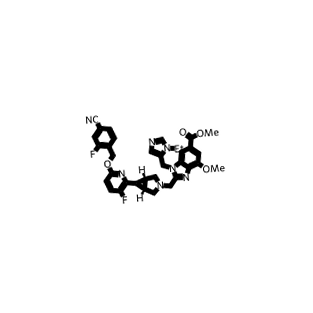 CCn1cncc1Cn1c(CN2C[C@@H]3C(c4nc(OCc5ccc(C#N)cc5F)ccc4F)[C@@H]3C2)nc2c(OC)cc(C(=O)OC)cc21